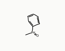 C[PH](=O)c1ccccc1